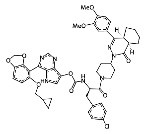 COc1ccc(C2=NN(C3CCN(C(=O)[C@@H](Cc4ccc(Cl)cc4)NC(=O)Oc4c[nH]c5c(-c6c(OCC7CC7)ccc7c6OCO7)ncnc45)CC3)C(=O)[C@@H]3CCCC[C@H]23)cc1OC